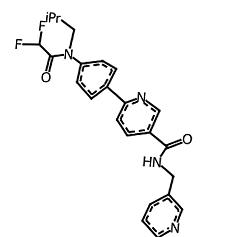 CC(C)CN(C(=O)C(F)F)c1ccc(-c2ccc(C(=O)NCc3cccnc3)cn2)cc1